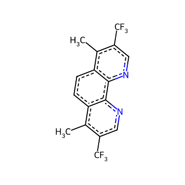 Cc1c(C(F)(F)F)cnc2c1ccc1c(C)c(C(F)(F)F)cnc12